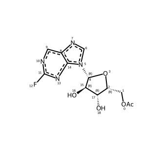 CC(=O)OC[C@H]1O[C@@H](n2cnc3cnc(F)nc32)[C@H](O)[C@H]1O